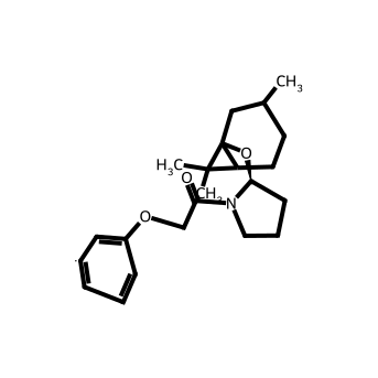 CC1CCC2C(C)(C)C2(O[C@H]2CCCN2C(=O)COc2c[c]ccc2)C1